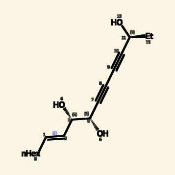 CCCCCC/C=C/[C@H](O)[C@@H](O)C#CC#C[C@@H](O)CC